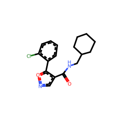 O=C(NCC1CCCCC1)c1cnoc1-c1ccccc1Cl